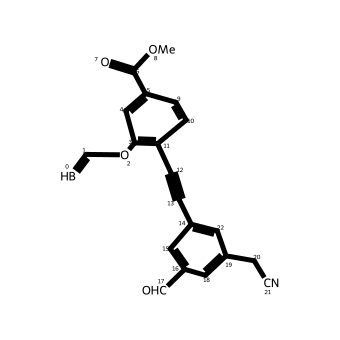 B=COc1cc(C(=O)OC)ccc1C#Cc1cc(C=O)cc(CC#N)c1